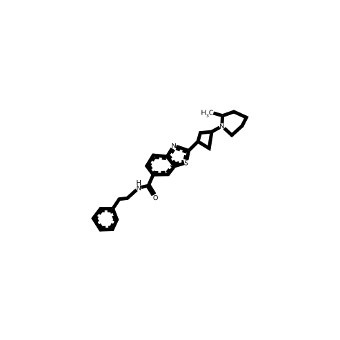 CC1CCCCN1C1CC(c2nc3ccc(C(=O)NCCc4ccccc4)cc3s2)C1